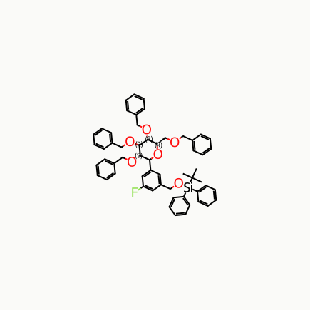 CC(C)(C)[Si](OCc1cc(F)cc(C2O[C@H](COCc3ccccc3)[C@@H](OCc3ccccc3)[C@H](OCc3ccccc3)[C@H]2OCc2ccccc2)c1)(c1ccccc1)c1ccccc1